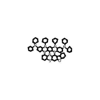 c1ccc(N(c2ccccc2)c2ccc3c(c2)N(c2ccccc2)c2cc4c5c6c2B3c2cccc3c2N6c2c(cc6oc7ccccc7c6c2B5c2ccc(N(c5ccccc5)c5ccccc5)cc2N4c2ccccc2)S3)cc1